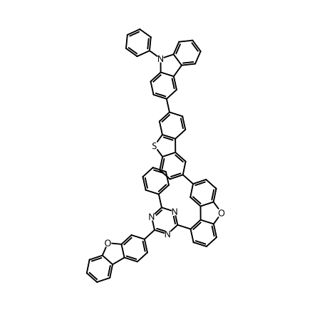 c1ccc(-c2nc(-c3ccc4c(c3)oc3ccccc34)nc(-c3cccc4oc5ccc(-c6ccc7sc8cc(-c9ccc%10c(c9)c9ccccc9n%10-c9ccccc9)ccc8c7c6)cc5c34)n2)cc1